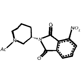 CC(=O)N1CCC[C@H](N2C(=O)c3cccc([N+](=O)[O-])c3C2=O)C1